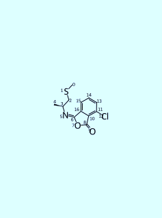 CSC[C@H](C)/N=C1/OC(=O)c2c(Cl)cccc21